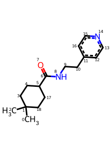 CC1(C)CCC(C(=O)NCCc2ccncc2)CC1